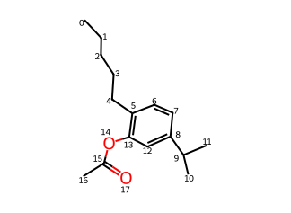 CCCCCc1ccc(C(C)C)cc1OC(C)=O